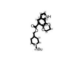 CCCCN1CCC(COC(=O)c2cc3cc[nH]c3c3c2OCCO3)CC1